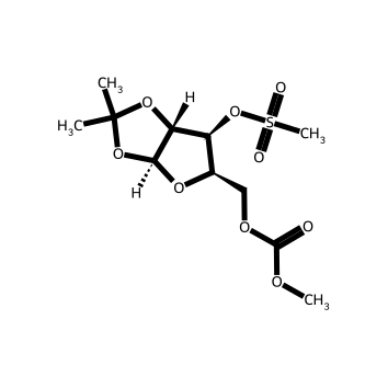 COC(=O)OC[C@H]1O[C@H]2OC(C)(C)O[C@@H]2[C@H]1OS(C)(=O)=O